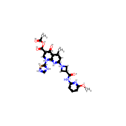 COc1cccc(NC(=O)C2CN(c3cc(C)c4c(=O)c(C(=O)OC(C)=O)cn(-c5ncns5)c4n3)C2)n1